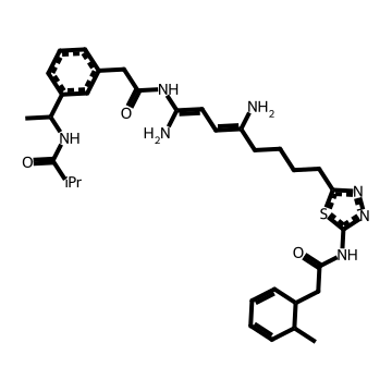 CC(C)C(=O)NC(C)c1cccc(CC(=O)N/C(N)=C/C=C(\N)CCCCc2nnc(NC(=O)CC3C=CC=CC3C)s2)c1